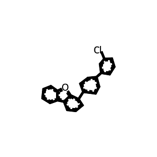 Clc1cccc(-c2ccc(-c3cccc4c3oc3ccccc34)cc2)c1